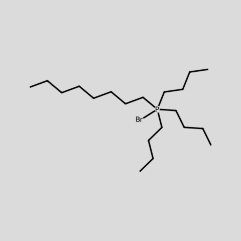 CCCCCCCCP(Br)(CCCC)(CCCC)CCCC